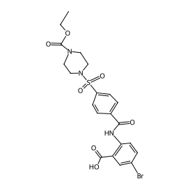 CCOC(=O)N1CCN(S(=O)(=O)c2ccc(C(=O)Nc3ccc(Br)cc3C(=O)O)cc2)CC1